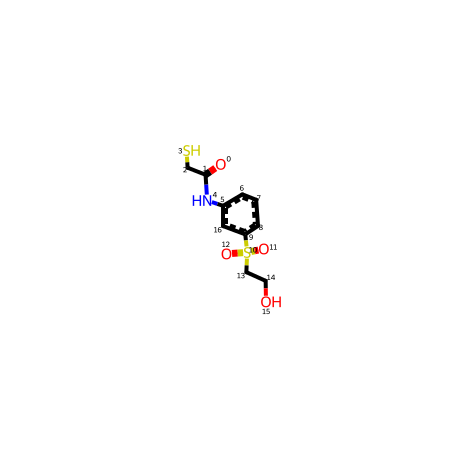 O=C(CS)Nc1cccc(S(=O)(=O)CCO)c1